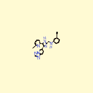 C#Cc1cccc(NCc2nc(-c3ccc4ncnn4c3)c(-c3cccc(C)n3)[nH]2)c1